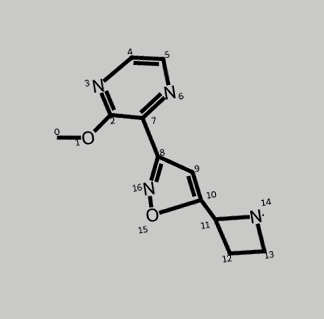 COc1nccnc1-c1cc(C2CC[N]2)on1